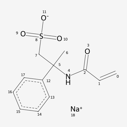 C=CC(=O)NC(C)(CS(=O)(=O)[O-])c1ccccc1.[Na+]